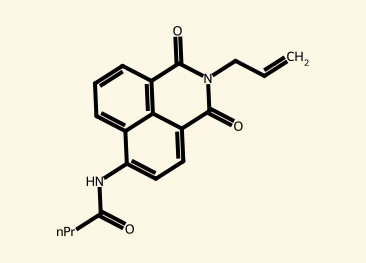 C=CCN1C(=O)c2cccc3c(NC(=O)CCC)ccc(c23)C1=O